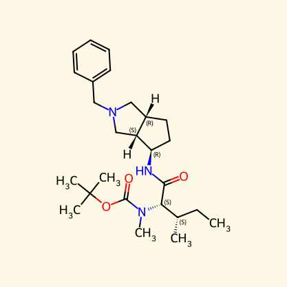 CC[C@H](C)[C@@H](C(=O)N[C@@H]1CC[C@H]2CN(Cc3ccccc3)C[C@H]21)N(C)C(=O)OC(C)(C)C